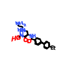 CCc1ccc(-c2ccc(C(=O)NC(CNCCN)C(=O)NO)cc2)cc1